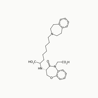 O=C(O)CN1C(=O)[C@@H](NC(CCCCCCN2CCc3ccccc3CC2)C(=O)O)COc2ccccc21